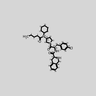 CCCCC(=O)N(C1CCCCC1)[C@H]1CCN(C(=O)[C@@H](Cc2ccc(Cl)cc2)NC(=O)C2Cc3ccccc3CN2)C1